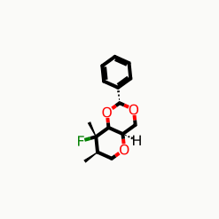 C[C@@H]1CO[C@@H]2CO[C@@H](c3ccccc3)OC2[C@@]1(C)F